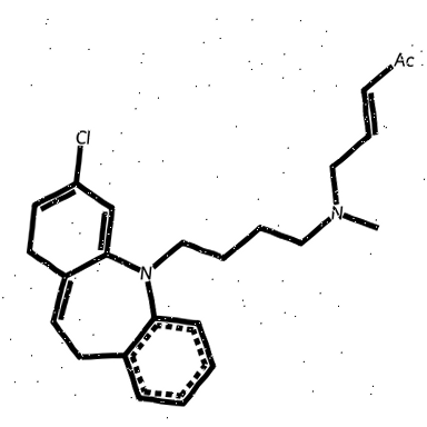 CC(=O)/C=C/CN(C)CCCCN1C2=CC(Cl)=CCC2=CCc2ccccc21